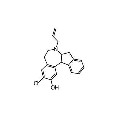 C=CCN1CCc2cc(Cl)c(O)cc2C2c3ccccc3CC21